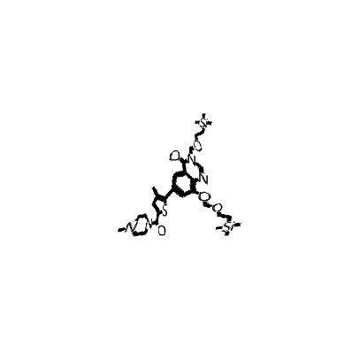 Cc1cc(C(=O)N2CCN(C)CC2)sc1-c1cc(OCOCC[Si](C)(C)C)c2ncn(COCC[Si](C)(C)C)c(=O)c2c1